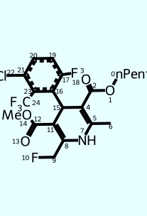 CCCCCOC(=O)C1=C(C)NC(CF)=C(C(=O)OC)C1c1c(F)ccc(Cl)c1C(F)(F)F